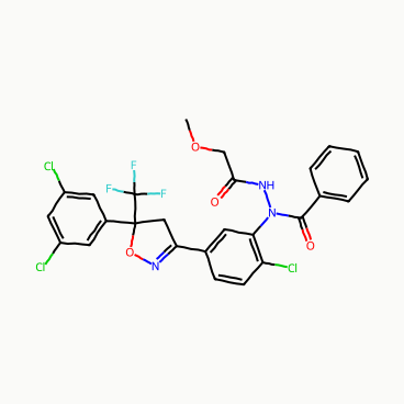 COCC(=O)NN(C(=O)c1ccccc1)c1cc(C2=NOC(c3cc(Cl)cc(Cl)c3)(C(F)(F)F)C2)ccc1Cl